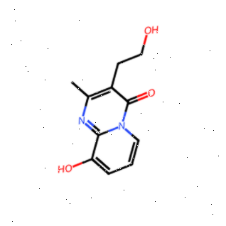 Cc1nc2c(O)cccn2c(=O)c1CCO